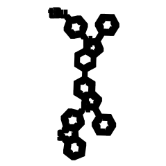 CC(C)(C)c1ccc(-n2c(-c3ccccc3)cc3c2CCC(c2ccc4c(c2)cc(-c2ccccc2)n4-c2ccc4sc5ccccc5c4c2)=C3)cc1